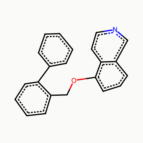 c1ccc(-c2ccccc2COc2cccc3cnccc23)cc1